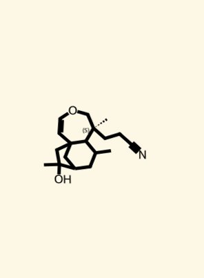 CC1CC2CC3(C=COC[C@@](C)(CCC#N)C13)CC2(C)O